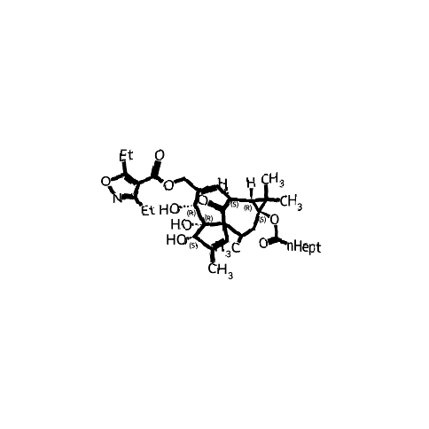 CCCCCCCC(=O)O[C@@]12CC(C)C34C=C(C)[C@H](O)[C@@]3(O)[C@H](O)C(COC(=O)c3c(CC)noc3CC)=C[C@H](C4=O)[C@@H]1C2(C)C